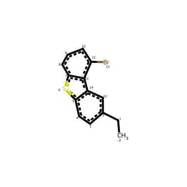 CCc1ccc2sc3cccc(Br)c3c2c1